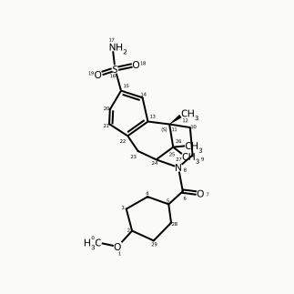 COC1CCC(C(=O)N2CC[C@@]3(C)c4cc(S(N)(=O)=O)ccc4CC2C3(C)C)CC1